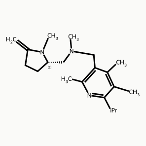 C=C1CC[C@@H](CN(C)Cc2c(C)nc(C(C)C)c(C)c2C)N1C